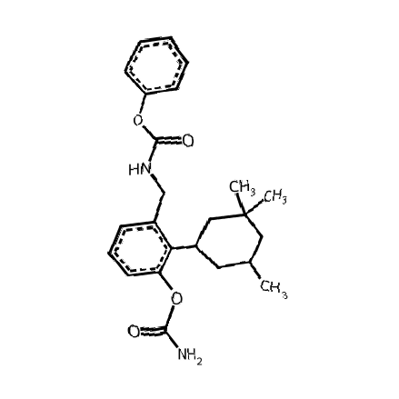 CC1CC(c2c(CNC(=O)Oc3ccccc3)cccc2OC(N)=O)CC(C)(C)C1